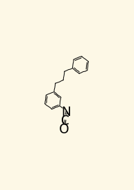 O=C=Nc1cccc(CCCc2ccccc2)c1